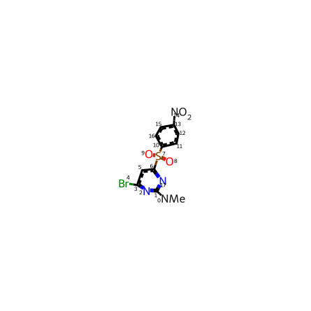 CNc1nc(Br)cc(S(=O)(=O)c2ccc([N+](=O)[O-])cc2)n1